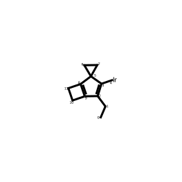 CCC1=[C]([Ir])C2(CC2)C2=C1CC2